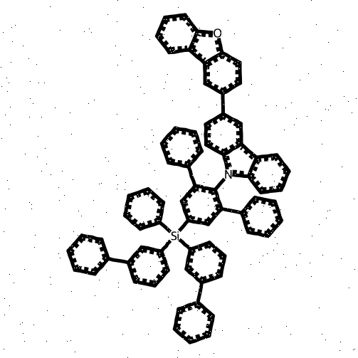 c1ccc(-c2cccc([Si](c3ccccc3)(c3cccc(-c4ccccc4)c3)c3cc(-c4ccccc4)c(-n4c5ccccc5c5cc(-c6ccc7oc8ccccc8c7c6)ccc54)c(-c4ccccc4)c3)c2)cc1